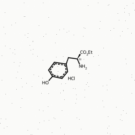 CCOC(=O)[C@@H](N)Cc1ccc(O)cc1.Cl